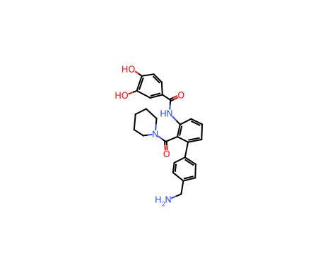 NCc1ccc(-c2cccc(NC(=O)c3ccc(O)c(O)c3)c2C(=O)N2CCCCC2)cc1